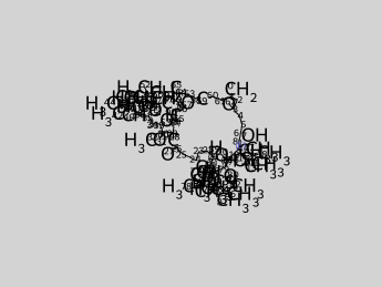 C=C1CC2CCC(O)/C=C/C(O[Si](C)(C)C(C)(C)C)[C@@H]3O[C@H]4CCC(CC(=O)CC5[C@@H](OC)C(CC(CO[Si](C)(C)C(C)(C)C)O[Si](C)(C)C(C)(C)C)O[C@H]5CC5OC(CCC1O2)C[C@@H](C)C5=C)O[C@@H]4C(O[Si](C)(C)C(C)(C)C)C3O[Si](C)(C)C(C)(C)C